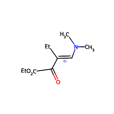 CCOC(=O)C(=O)/C(=C/N(C)C)CC